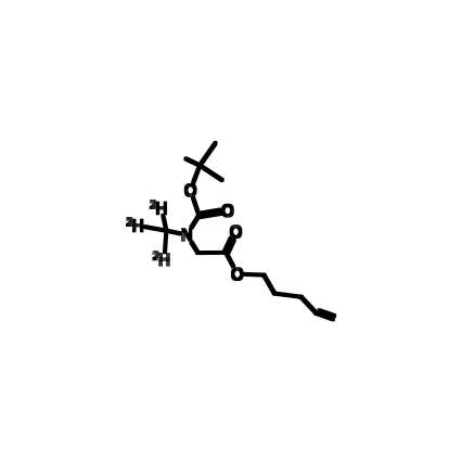 [2H]C([2H])([2H])N(CC(=O)OCCCC=C)C(=O)OC(C)(C)C